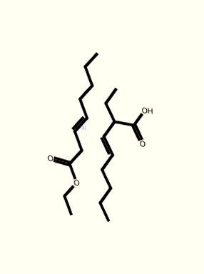 CCCC/C=C/CC(=O)OCC.CCCCC=CC(CC)C(=O)O